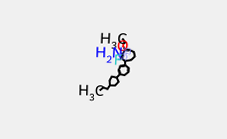 CCCC1CCC(C2=CC=C(C3CCC/C=C(OCC)\C(N)=C/3F)C=CC2)CC1